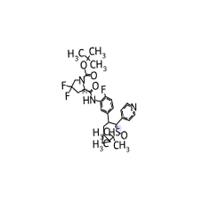 CC(C)(C)OC(=O)N1CC(F)(F)C[C@@H]1C(=O)Nc1cc(C(CC2CC2)/C(c2ccncc2)=[SH](=O)\C(C)(C)C)ccc1F